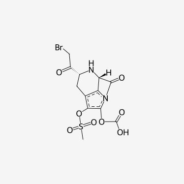 CS(=O)(=O)Oc1c2c3n(c1OC(=O)O)C(=O)[C@H]3N[C@@H](C(=O)CBr)C2